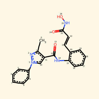 Cc1nn(-c2ccccc2)cc1C(=O)Nc1ccccc1C=CC(=O)NO